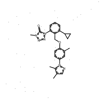 Cc1cc(-n2ncc(C)c2C)ccc1OCc1c(C2CC2)cccc1-n1nnn(C)c1=O